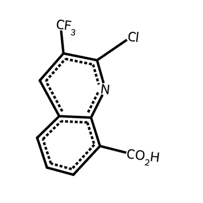 O=C(O)c1cccc2cc(C(F)(F)F)c(Cl)nc12